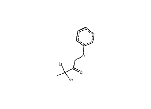 CCC(C)(CC)C(=O)COc1cccnc1